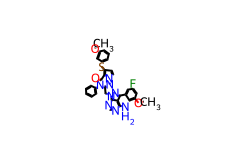 COc1cccc(Sc2ccn3nc(Cn4nc(-c5cc(F)cc(OC)c5)c5c(N)ncnc54)n(-c4ccccc4)c(=O)c23)c1